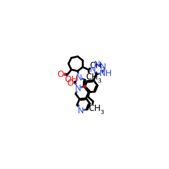 CCCCc1cn(C2C(C(=O)O)CCCCC2C(C)C)c(=O)n1Cc1cnccc1-c1ccc(-c2nnn[nH]2)cc1